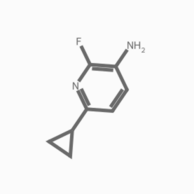 Nc1ccc(C2CC2)nc1F